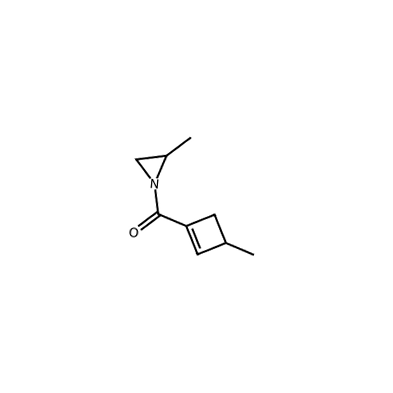 CC1C=C(C(=O)N2CC2C)C1